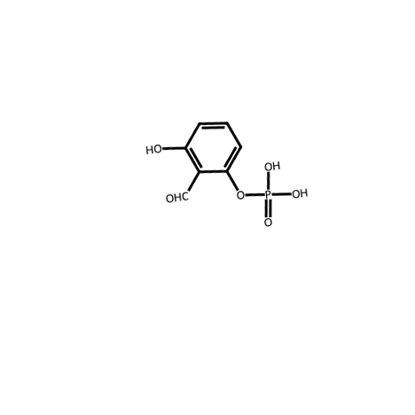 O=Cc1c(O)cccc1OP(=O)(O)O